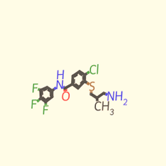 CC(CN)CSc1cc(C(=O)Nc2cc(F)c(F)c(F)c2)ccc1Cl